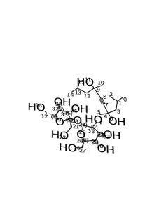 CC(C)CC(C)(O)C#CC(C)(O)CC(C)C.OC[C@H]1O[C@@](CO)(O[C@H]2O[C@H](CO)[C@@H](O)[C@H](O)[C@H]2O)[C@@H](O)[C@@H]1O